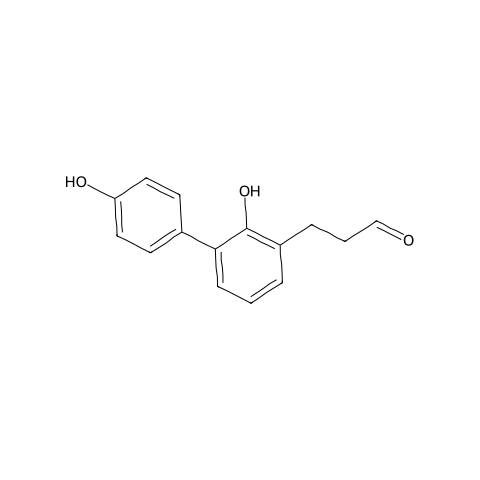 O=CCCc1cccc(-c2ccc(O)cc2)c1O